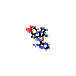 CC(NC(=O)c1c(N)nn2cccnc12)c1cc(Cl)c2cncn2c1N1CCNS(O)(O)CC1